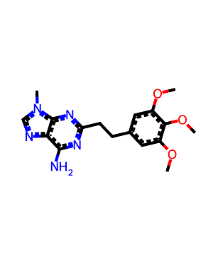 COc1cc(CCc2nc(N)c3ncn(C)c3n2)cc(OC)c1OC